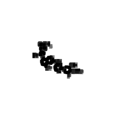 CC[C@@H]1[C@@H](CS(C)(=O)=O)CN1c1ccc(C(C)C)c2cc(Nc3ccnc(N4C[C@@H](F)[C@@H](OC)[C@@H](O)C4)n3)ncc12